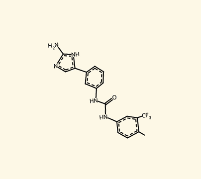 Cc1ccc(NC(=O)Nc2cccc(-c3cnc(N)[nH]3)c2)cc1C(F)(F)F